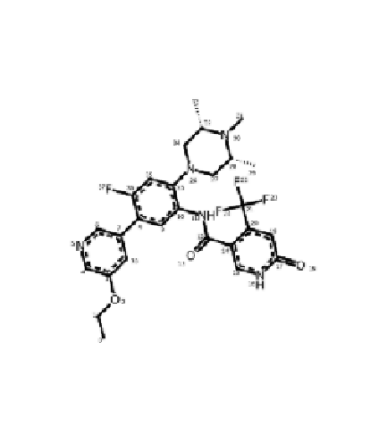 CCOc1cncc(-c2cc(NC(=O)c3c[nH]c(=O)cc3C(F)(F)F)c(N3C[C@@H](C)N(C)[C@@H](C)C3)cc2F)c1